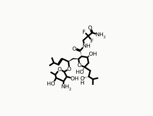 CC(C)/C=C/[C@@H](C[C@@H]1O[C@](O)(C[C@@H](O)C(C)C)C[C@H](O)[C@H]1C(=O)NCC(F)(F)C(N)=O)OC1OC(C)C(O)C(N)C1O